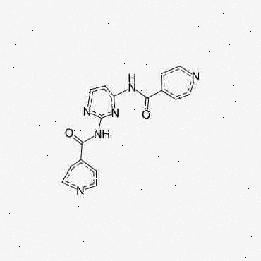 O=C(Nc1ccnc(NC(=O)c2ccncc2)n1)c1ccncc1